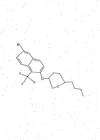 CCCCC1CCC(Oc2ccc3cc(Br)ccc3c2C(F)(F)F)CC1